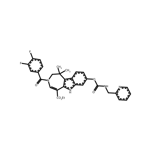 CCOC(=O)C1=CN(C(=O)c2ccc(F)c(F)c2)CC(C)(C)c2c1[nH]c1cc(OC(=O)NCc3ccccn3)ccc21